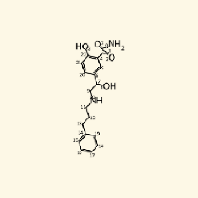 NS(=O)(=O)c1cc(C(O)CNCCCc2ccccc2)ccc1O